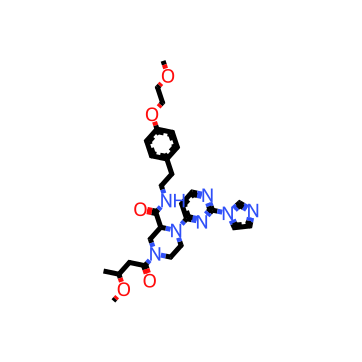 COCCOc1ccc(CCNC(=O)C2CN(C(=O)CC(C)OC)CCN2c2ccnc(-n3ccnc3)n2)cc1